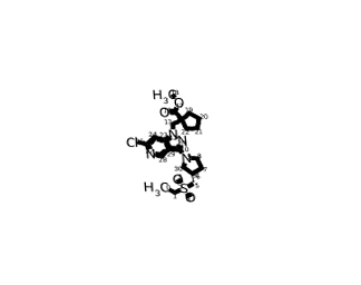 CCS(=O)(=O)C[C@H]1CCN(c2nn(CC3(C(=O)OC)CCCC3)c3cc(Cl)ncc23)C1